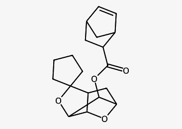 O=C(OC1C2CC3C(O2)C1OC31CCCC1)C1CC2C=CC1C2